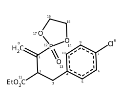 C=C(C(Cc1ccc(Cl)cc1)C(=O)OCC)P1(=O)OCCO1